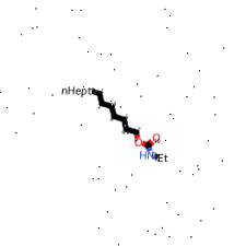 CCCCCCCCCCCCCCOC(=O)NCC